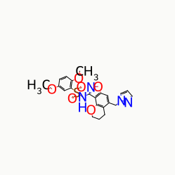 COc1ccc(OC)c(S(=O)(=O)Nc2noc3cc(Cn4cccn4)c4c(c23)OCCC4)c1